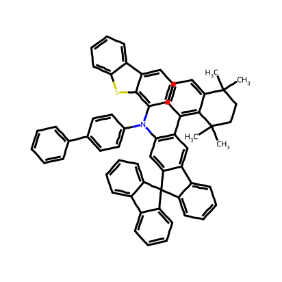 CC1(C)CCC(C)(C)c2c(-c3cc4c(cc3N(c3ccc(-c5ccccc5)cc3)c3cccc5c3sc3ccccc35)C3(c5ccccc5-c5ccccc53)c3ccccc3-4)cccc21